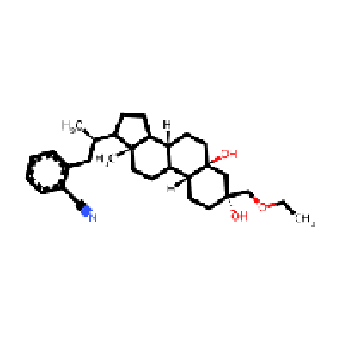 CCOC[C@@]1(O)CC[C@@H]2C3CC[C@@]4(C)C(CCC4[C@H](C)Cc4ccccc4C#N)[C@@H]3CC[C@]2(O)C1